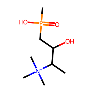 CC(C(O)CP(C)(=O)O)[N+](C)(C)C